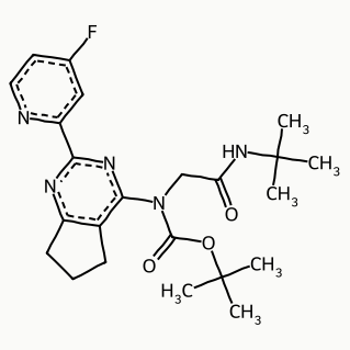 CC(C)(C)NC(=O)CN(C(=O)OC(C)(C)C)c1nc(-c2cc(F)ccn2)nc2c1CCC2